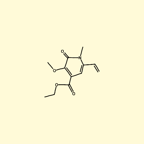 C=Cc1cc(C(=O)OCC)c(OC)c(=O)n1C